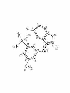 Cc1ccc2c(c1)[C@H](Nc1cc(C(F)(F)F)nc(N)n1)[C@@H](C)C2